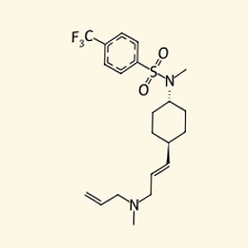 C=CCN(C)CC=C[C@H]1CC[C@H](N(C)S(=O)(=O)c2ccc(C(F)(F)F)cc2)CC1